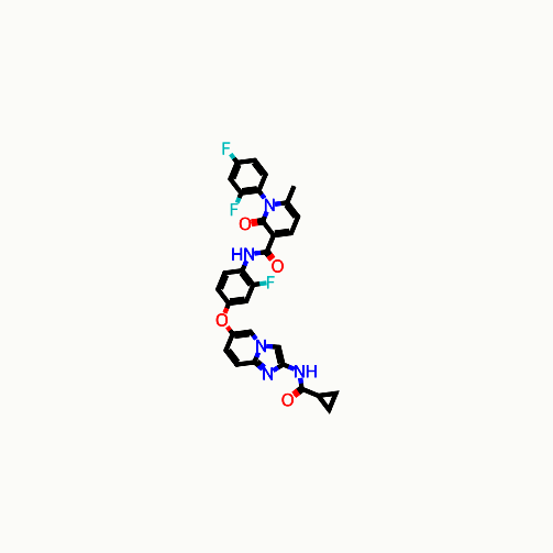 Cc1ccc(C(=O)Nc2ccc(Oc3ccc4nc(NC(=O)C5CC5)cn4c3)cc2F)c(=O)n1-c1ccc(F)cc1F